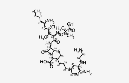 CCC/C=C(\N)S/C(Cl)=C(C)/C(=N/OC(C)(C)C(=O)O)C(=O)N[C@@H]1C(=O)N2C(C(=O)O)=C(/C=C/C[n+]3cnc(N)c(NCCN)c3)CSC12